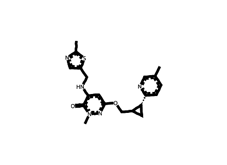 Cc1ccc([C@@H]2CC2COc2cc(NCc3cnc(C)s3)c(=O)n(C)n2)nc1